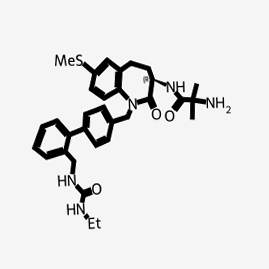 CCNC(=O)NCc1ccccc1-c1ccc(CN2C(=O)[C@H](NC(=O)C(C)(C)N)CCc3cc(SC)ccc32)cc1